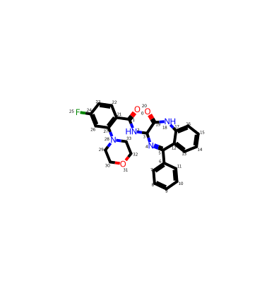 O=C(NC1N=C(c2ccccc2)c2ccccc2NC1=O)c1ccc(F)cc1N1CCOCC1